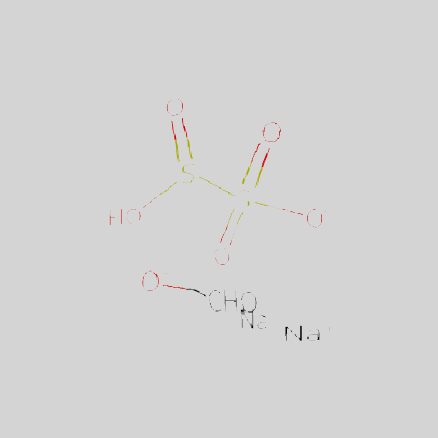 O=C[O-].O=S(O)S(=O)(=O)[O-].[Na+].[Na+]